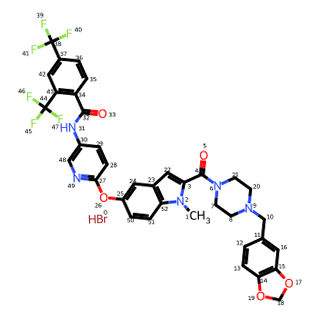 Br.Cn1c(C(=O)N2CCN(Cc3ccc4c(c3)OCO4)CC2)cc2cc(Oc3ccc(NC(=O)c4ccc(C(F)(F)F)cc4C(F)(F)F)cn3)ccc21